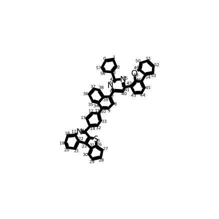 c1ccc(-c2nc(-c3ccc(-c4ccc(-c5nc6ccccc6c6c5sc5ccccc56)cc4)c4ccccc34)cc(-c3cccc4c3oc3ccccc34)n2)cc1